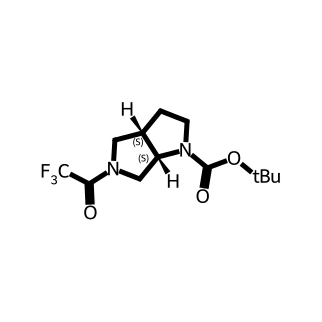 CC(C)(C)OC(=O)N1CC[C@H]2CN(C(=O)C(F)(F)F)C[C@H]21